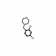 Clc1ccc(CN2CC[N]CC2)c(Cl)c1